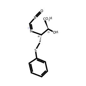 O=B/C=N\[C@@H](CSc1ccccc1)[C@H](O)C(=O)O